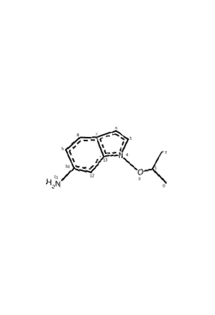 CC(C)On1ccc2ccc(N)cc21